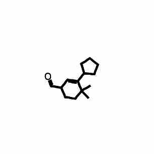 CC1(C)CCC(C=O)C=C1C1CCCC1